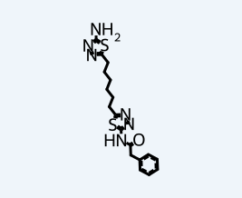 Nc1nnc(CCCCCCc2nnc(NC(=O)Cc3ccccc3)s2)s1